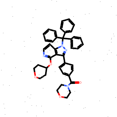 O=C(c1ccc(-c2nn(C(c3ccccc3)(c3ccccc3)c3ccccc3)c3ccnc(OC4CCOCC4)c23)cc1)N1CCOCC1